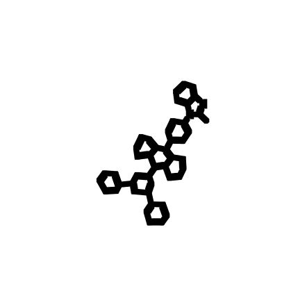 Cc1nc2ccccc2n1-c1ccc(-c2c3ccccc3c(-c3cc(-c4ccccc4)cc(-c4ccccc4)c3)c3ccccc23)cc1